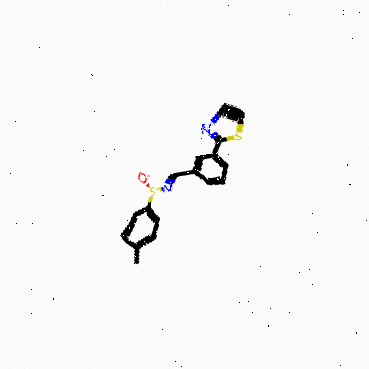 Cc1ccc([S@@+]([O-])N=Cc2cccc(-c3nccs3)c2)cc1